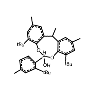 Cc1ccc([PH]2(O)Oc3c(cc(C)cc3C(C)(C)C)C(C)c3cc(C)cc(C(C)(C)C)c3O2)c(C(C)(C)C)c1